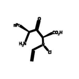 C=CN(Cl)[C@H](C(=O)O)C(=O)[C@@H](N)CCC